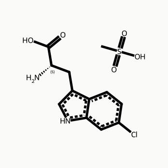 CS(=O)(=O)O.N[C@@H](Cc1c[nH]c2cc(Cl)ccc12)C(=O)O